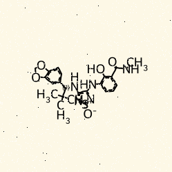 CNC(=O)c1cccc(Nc2n[s+]([O-])nc2N[C@@H](c2ccc3c(c2)OCO3)C(C)(C)C)c1O